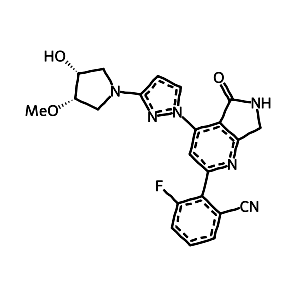 CO[C@H]1CN(c2ccn(-c3cc(-c4c(F)cccc4C#N)nc4c3C(=O)NC4)n2)C[C@H]1O